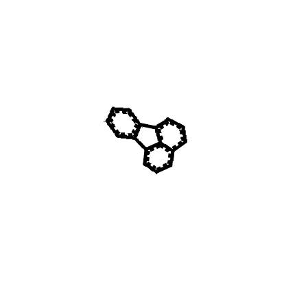 [c]1ccc2c(c1)-c1c[c]cc3cccc-2c13